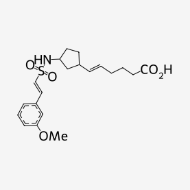 COc1cccc(/C=C/S(=O)(=O)NC2CCC(/C=C/CCCC(=O)O)C2)c1